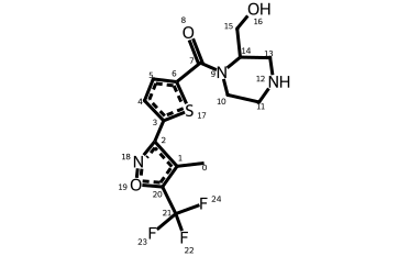 Cc1c(-c2ccc(C(=O)N3CCNCC3CO)s2)noc1C(F)(F)F